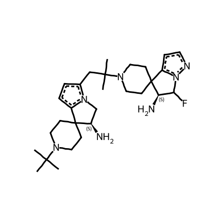 CC(C)(C)N1CCC2(CC1)c1ccc(CC(C)(C)N3CCC4(CC3)c3ccnn3C(F)[C@H]4N)n1C[C@H]2N